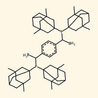 BC(c1ccc(C(B)P(C23CC4CC(C)(CC(C)(C4)C2)C3)C23CC4CC(C)(CC(C)(C4)C2)C3)cc1)P(C12CC3CC(C)(CC(C)(C3)C1)C2)C12CC3CC(C)(CC(C)(C3)C1)C2